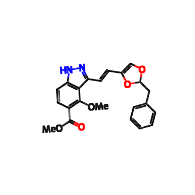 COC(=O)c1ccc2[nH]nc(C=CC3=COC(Cc4ccccc4)O3)c2c1OC